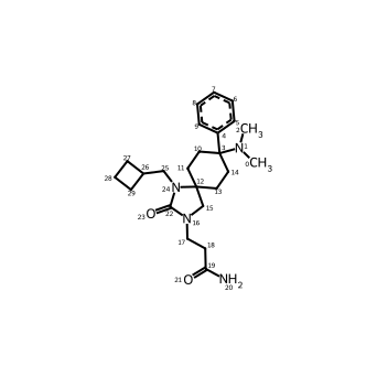 CN(C)C1(c2ccccc2)CCC2(CC1)CN(CCC(N)=O)C(=O)N2CC1CCC1